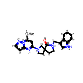 COc1cc(N2CCC3(CCN(Cc4c[nH]c5ccccc45)C3=O)C2)nc2ccnn12